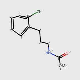 COC(=O)NCCCc1ccccc1Cl